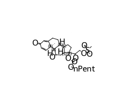 CCCCCOC(=O)O[C@]1(C(=O)COS(C)(=O)=O)CC[C@H]2[C@@H]3CCC4=CC(=O)C=C[C@]4(C)[C@H]3C(=O)C[C@@]21C